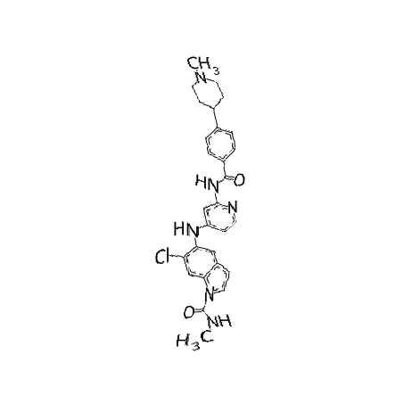 CNC(=O)n1ccc2cc(Nc3ccnc(NC(=O)c4ccc(C5CCN(C)CC5)cc4)c3)c(Cl)cc21